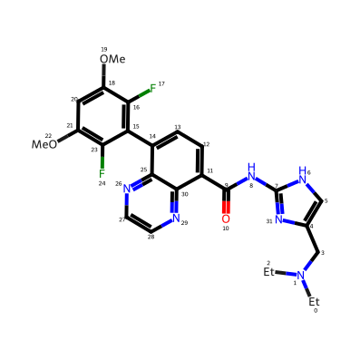 CCN(CC)Cc1c[nH]c(NC(=O)c2ccc(-c3c(F)c(OC)cc(OC)c3F)c3nccnc23)n1